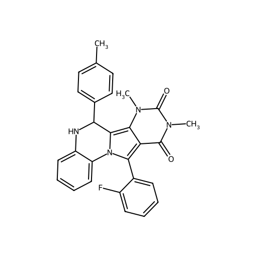 Cc1ccc(C2Nc3ccccc3-n3c(-c4ccccc4F)c4c(=O)n(C)c(=O)n(C)c4c32)cc1